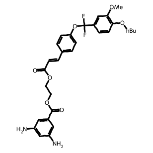 CCCCOc1ccc(C(F)(F)Oc2ccc(C=CC(=O)OCCOC(=O)c3cc(N)cc(N)c3)cc2)cc1OC